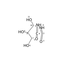 N=C=O.N=C=O.OCC(O)CO